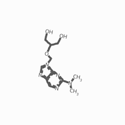 CN(C)c1ncc2ncn(COC(CO)CO)c2n1